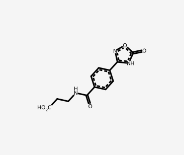 O=C(O)CCNC(=O)c1ccc(-c2noc(=O)[nH]2)cc1